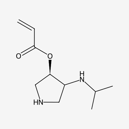 C=CC(=O)O[C@@H]1CNCC1NC(C)C